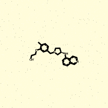 Cc1ccc(CN2CC[C@@H](Nc3cccc4cnccc34)C2)cc1OCCO